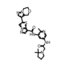 Cc1ncc(NC(=O)CN2CCCC2(C)C)cc1NC(=O)c1cnn2cc(-c3cnn4c3COCC4)sc12